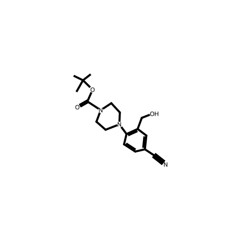 CC(C)(C)OC(=O)N1CCN(c2ccc(C#N)cc2CO)CC1